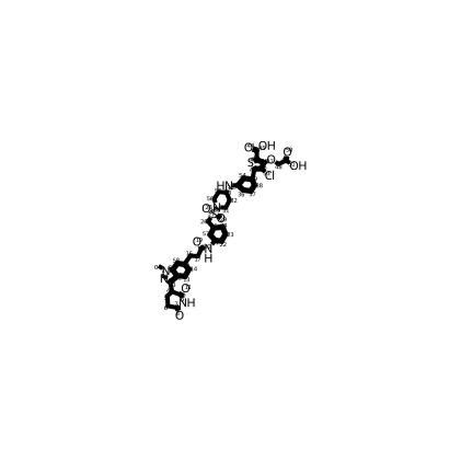 Cn1nc(C2CCC(=O)NC2=O)c2ccc(CCC(=O)Nc3cccc(CS(=O)(=O)N4CCC(Nc5cccc(-c6sc(C(=O)O)c(OCC(=O)O)c6Cl)c5)CC4)c3)cc21